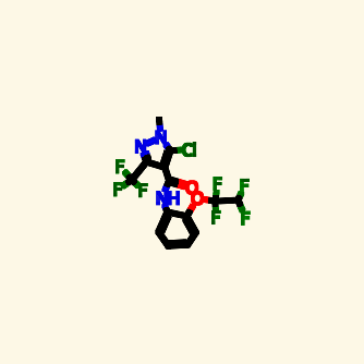 Cn1nc(C(F)(F)F)c(C(=O)Nc2ccccc2OC(F)(F)C(F)F)c1Cl